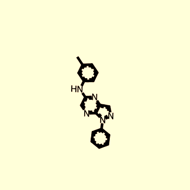 Cc1cccc(Nc2cnc3c(cnn3-c3ccccc3)n2)c1